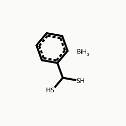 SC(S)c1ccccc1.[BiH3]